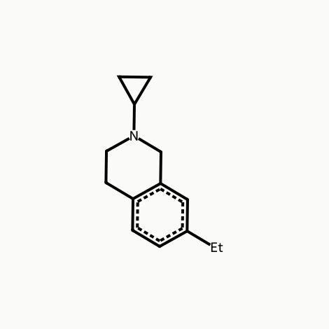 CCc1ccc2c(c1)CN(C1CC1)CC2